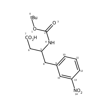 CC(C)(C)OC(=O)NC(CC(=O)O)Cc1cccc([N+](=O)[O-])c1